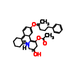 CC(=O)OC1=C2C3C=C(O[C@H](C)CCCc4ccccc4)C=CC3=C3CCCC[C@@H]3N2C[C@H](O)C1